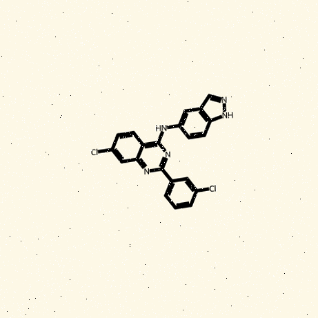 Clc1cccc(-c2nc(Nc3ccc4[nH]ncc4c3)c3ccc(Cl)cc3n2)c1